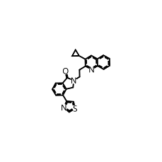 O=C1c2cccc(-c3cscn3)c2CN1CCc1nc2ccccc2cc1C1CC1